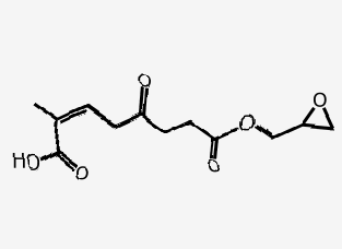 CC(=CCC(=O)CCC(=O)OCC1CO1)C(=O)O